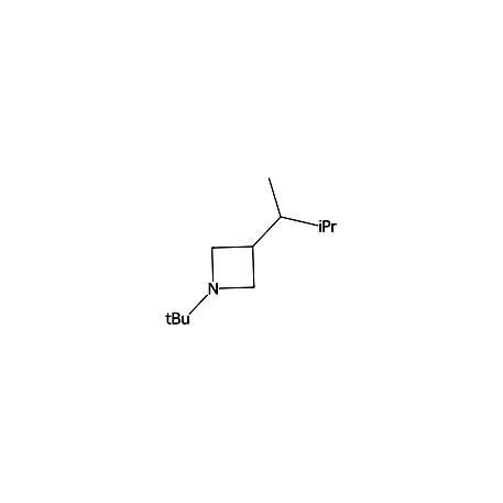 CC(C)C(C)C1CN(C(C)(C)C)C1